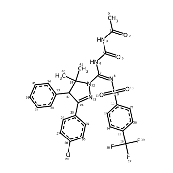 CC(=O)NC(=O)N/C(=N/S(=O)(=O)c1ccc(C(F)(F)F)cc1)N1N=C(c2ccc(Cl)cc2)C(c2ccccc2)C1(C)C